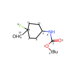 CC(C)(C)OC(=O)NC1CCC(F)(C=O)CC1